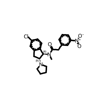 CN(C(=O)Cc1cccc([N+](=O)[O-])c1)[C@@H]1c2ccc(Cl)cc2C[C@H]1N1CCCC1